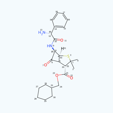 CC1(C)S[C@H]2C(C(=O)[C@H]2NC(=O)[C@H](N)c2ccccc2)[C@H]1C(=O)OCC1CCCCC1